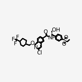 CCS(=O)(=O)c1ccc([C@H](CO)NC(=O)c2ccc3c(OCC4CCC(C(F)(F)F)CC4)nc(Cl)cc3c2)cc1